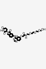 O=C(COc1ccc2ncnc(Nc3ccc4c(c3)C(=O)N(C3CCC(=O)NC3=O)C4)c2c1)NCCOCCOCCOCO